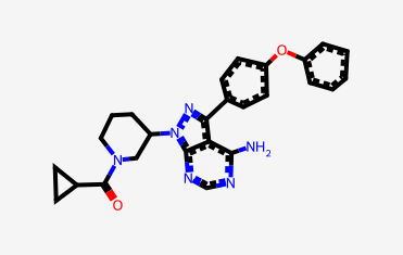 Nc1ncnc2c1c(-c1ccc(Oc3ccccc3)cc1)nn2C1CCCN(C(=O)C2CC2)C1